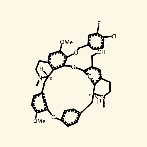 COc1ccc2cc1Oc1ccc(cc1)C[C@H]1c3cc(c(CO)cc3CCN1C)Oc1c(OCc3ccc(Cl)c(F)c3)c(OC)cc3c1[C@H](C2)N(C)CC3